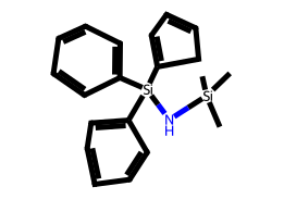 C[Si](C)(C)N[Si](C1=CC=CC1)(c1ccccc1)c1ccccc1